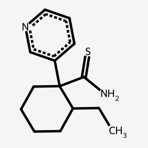 CCC1CCCCC1(C(N)=S)c1cccnc1